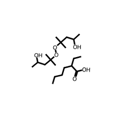 CC(O)CC(C)(C)OOC(C)(C)CC(C)O.CCCCC(CC)C(=O)O